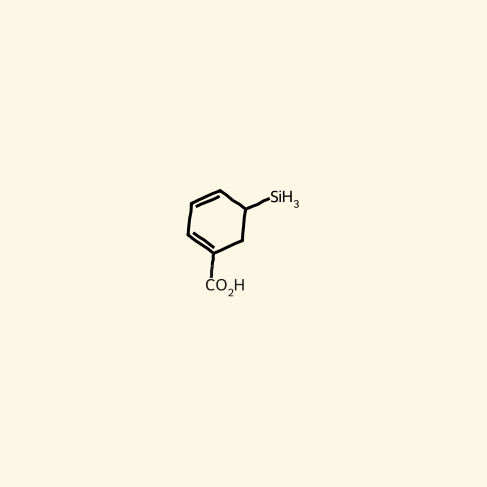 O=C(O)C1=CC=CC([SiH3])C1